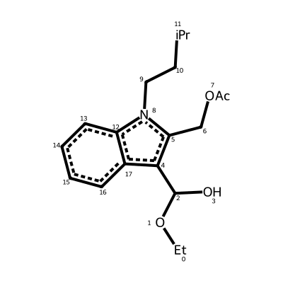 CCOC(O)c1c(COC(C)=O)n(CCC(C)C)c2ccccc12